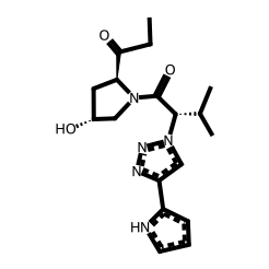 CCC(=O)[C@@H]1C[C@@H](O)CN1C(=O)[C@H](C(C)C)n1cc(-c2ccc[nH]2)nn1